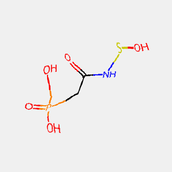 O=C(CP(=O)(O)O)NSO